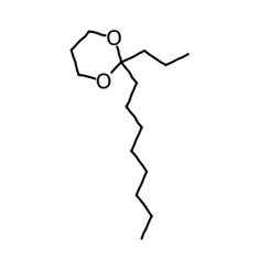 CCCCCCCCC1(CCC)OCCCO1